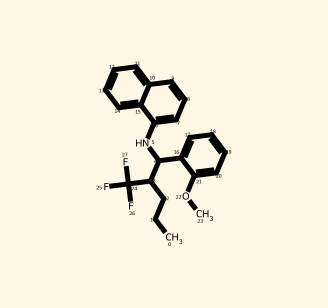 CCCC(C(Nc1cccc2ccccc12)c1ccccc1OC)C(F)(F)F